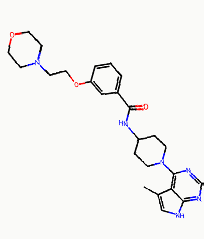 Cc1c[nH]c2ncnc(N3CCC(NC(=O)c4cccc(OCCN5CCOCC5)c4)CC3)c12